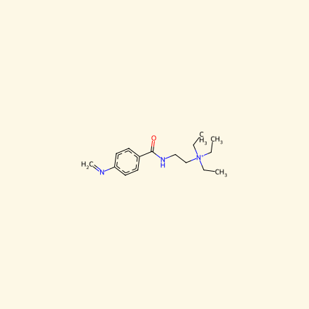 C=Nc1ccc(C(=O)NCC[N+](CC)(CC)CC)cc1